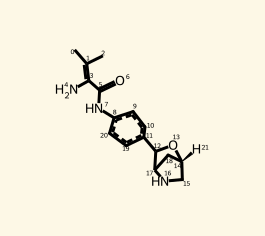 CC(C)=C(N)C(=O)Nc1ccc(C2O[C@@H]3CNC2C3)cc1